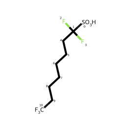 O=S(=O)(O)C(F)(F)CCCCCCC(F)(F)F